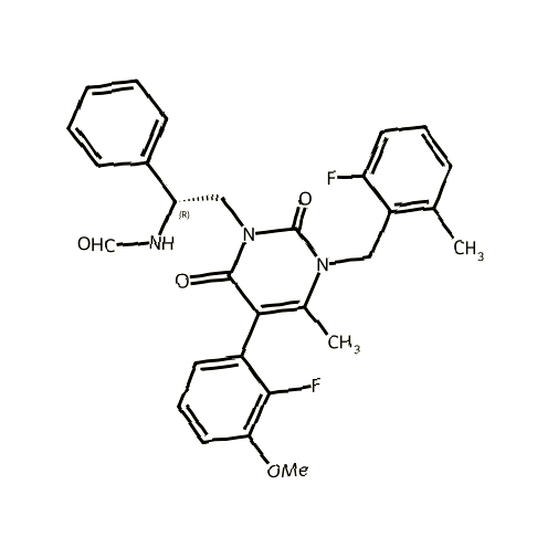 COc1cccc(-c2c(C)n(Cc3c(C)cccc3F)c(=O)n(C[C@H](NC=O)c3ccccc3)c2=O)c1F